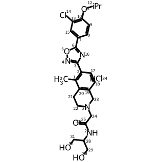 Cc1c(-c2noc(-c3ccc(OC(C)C)c(Cl)c3)n2)ccc2c1CCN(CC(=O)NC(CO)CO)C2.Cl